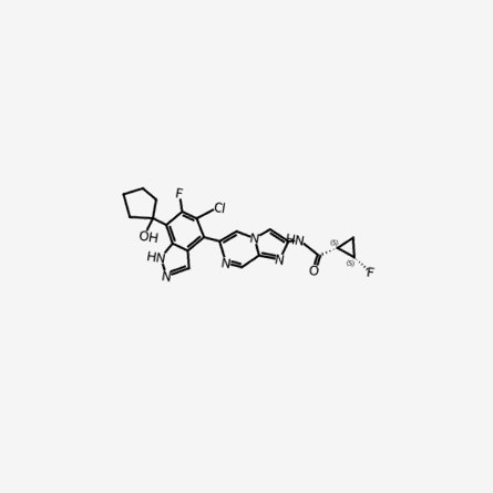 O=C(Nc1cn2cc(-c3c(Cl)c(F)c(C4(O)CCCC4)c4[nH]ncc34)ncc2n1)[C@@H]1C[C@@H]1F